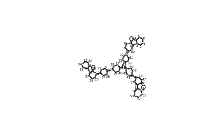 c1ccc2c(c1)oc1ccc(-c3ccc(N(c4ccc(-c5ccc(-c6cccc7c6oc6ccccc67)cc5)cc4)c4ccc(-c5ccc6oc7ccccc7c6c5)cc4)cc3)cc12